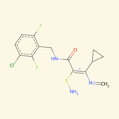 C=N/C(=C(\SN)C(=O)NCc1c(F)ccc(Cl)c1F)C1CC1